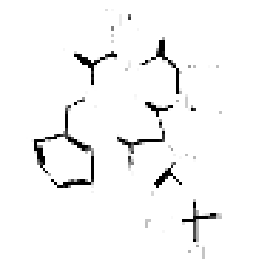 CC(C)[C@H](NC(=O)OC(C)(C)C)C(=O)N(C)[C@@H](C)C(=O)N[C@@H](C)C(=O)OCc1ccccc1